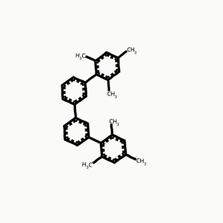 Cc1cc(C)c(-c2cccc(-c3cccc(-c4c(C)cc(C)cc4C)c3)c2)c(C)c1